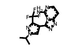 CC(C)n1cc(-c2nnc3ccnc(N)n23)c(C(F)(F)F)n1